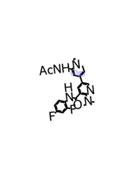 C=N/C(=C\C(=C/C)c1cnc(N(C)C)c(C(=O)Nc2ccc(F)cc2F)c1)NC(C)=O